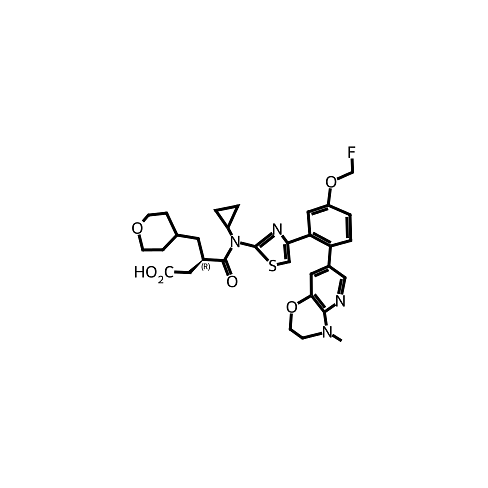 CN1CCOc2cc(-c3ccc(OCF)cc3-c3csc(N(C(=O)[C@@H](CC(=O)O)CC4CCOCC4)C4CC4)n3)cnc21